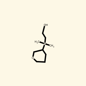 C[N+](C)(CCO)C1CCCOC1